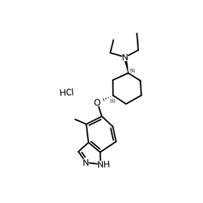 CCN(CC)[C@H]1CCC[C@H](Oc2ccc3[nH]ncc3c2C)C1.Cl